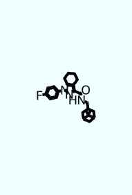 CC1(C)C2CC(CNC(=O)c3nn(-c4ccc(F)cc4)c4c3CCCC4)CC1C2